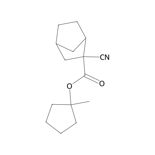 CC1(OC(=O)C2(C#N)CC3CCC2C3)CCCC1